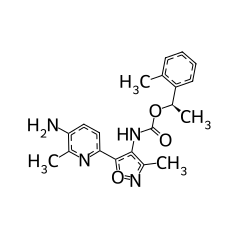 Cc1ccccc1[C@@H](C)OC(=O)Nc1c(C)noc1-c1ccc(N)c(C)n1